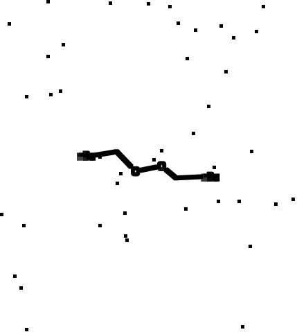 CCCCCOOCCCCC